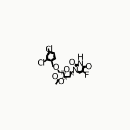 CC(=O)O[C@H]1C[C@H](n2cc(F)c(=O)[nH]c2=O)O[C@@H]1COCc1ccc(Cl)cc1Cl